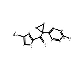 CC(C)(C)c1csc(C(=O)C2(c3ccc(Cl)cc3)CC2)n1